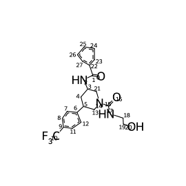 O=C(NC1CC(c2ccc(C(F)(F)F)cc2)CN(C(=O)NCCO)C1)c1ccccc1